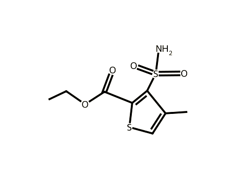 CCOC(=O)c1scc(C)c1S(N)(=O)=O